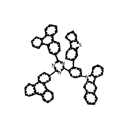 c1ccc2cc3c(cc2c1)c1ccccc1n3-c1ccc(-c2nc(-c3ccc4c5ccccc5c5ccccc5c4c3)nc(-c3ccc4c5ccccc5c5ccccc5c4c3)n2)c(-c2ccc3c(c2)sc2ccccc23)c1